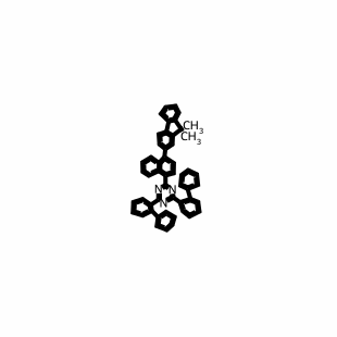 CC1(C)c2ccccc2-c2ccc(-c3ccc(-c4nc(-c5ccccc5-c5ccccc5)nc(-c5ccccc5-c5ccccc5)n4)c4ccccc34)cc21